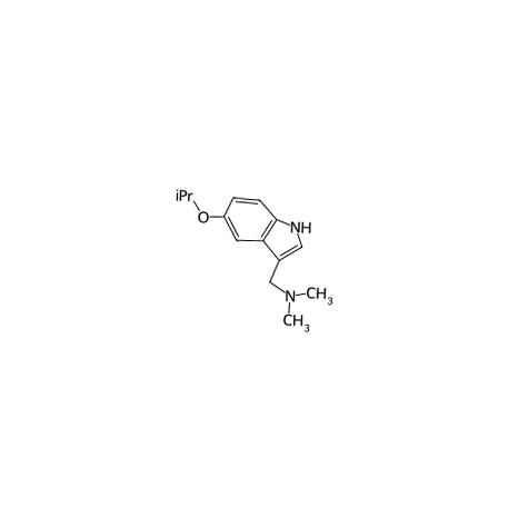 CC(C)Oc1ccc2[nH]cc(CN(C)C)c2c1